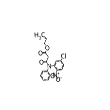 C=CCOC(=O)CC(=O)N(c1ccccc1)c1cc(Cl)ccc1[N+](=O)[O-]